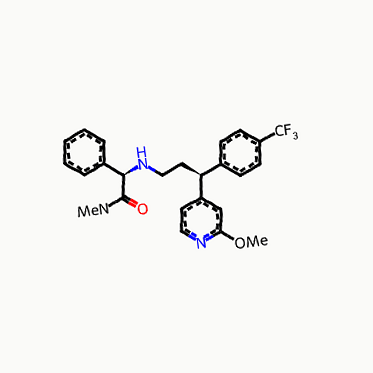 CNC(=O)[C@H](NCC[C@@H](c1ccc(C(F)(F)F)cc1)c1ccnc(OC)c1)c1ccccc1